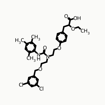 CCOC(Cc1ccc(OCCN(CCOCc2cc(Cl)cc(Cl)c2)C(=O)Nc2cc(C)c(C)cc2C)cc1)C(=O)O